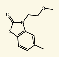 COCCn1c(=O)sc2ccc(C)cc21